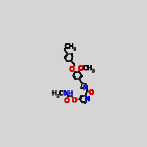 CCc1ccc(COc2ccc(C3CN(C(=O)c4cc(OCC(=O)NC)ccn4)C3)cc2OC)cc1